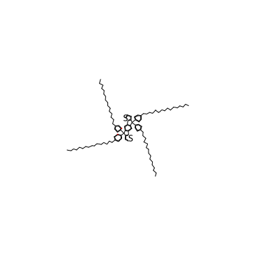 CCCCCCCCCCCCCCCCc1ccc(C2(c3ccc(CCCCCCCCCCCCCCCC)cc3)c3cc4c(cc3-c3sccc32)C(c2ccc(CCCCCCCCCCCCCCCC)cc2)(c2ccc(CCCCCCCCCCCCCCCC)cc2)c2ccsc2-4)cc1